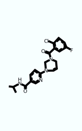 CC(C)NC(=O)c1ccc(N2C=CCN(C(=O)c3cc(F)ccc3Cl)C2)nc1